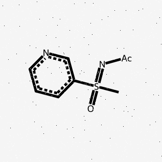 CC(=O)N=S(C)(=O)c1cccnc1